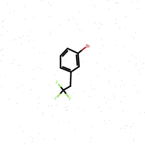 FC(F)(F)[CH]c1cccc(Br)c1